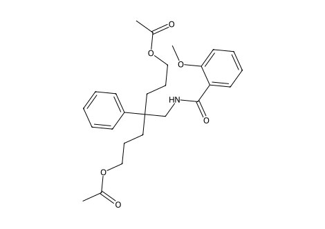 COc1ccccc1C(=O)NCC(CCCOC(C)=O)(CCCOC(C)=O)c1ccccc1